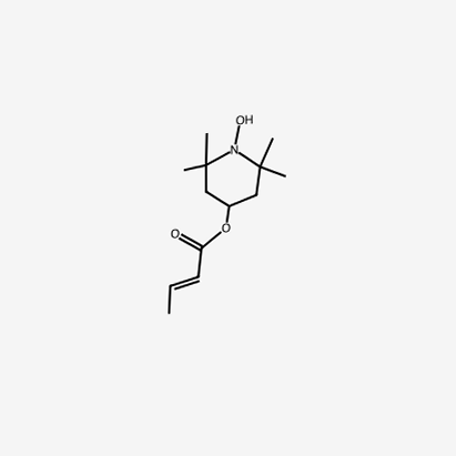 CC=CC(=O)OC1CC(C)(C)N(O)C(C)(C)C1